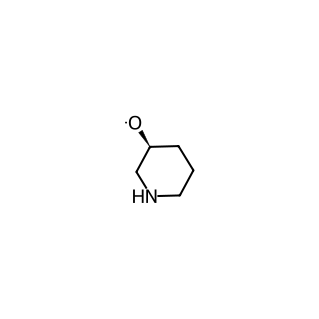 [O][C@H]1CCCNC1